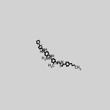 CCCCc1ccc(-c2csc(/N=N/c3ccc(NNc4ccc(NNc5ccc(N6CCCC6)s5)cc4C)cc3C)n2)cc1